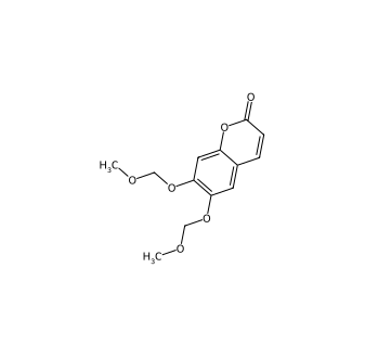 COCOc1cc2ccc(=O)oc2cc1OCOC